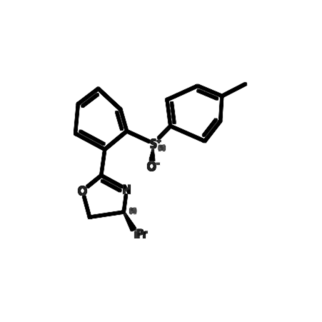 Cc1ccc([S@@+]([O-])c2ccccc2C2=N[C@@H](C(C)C)CO2)cc1